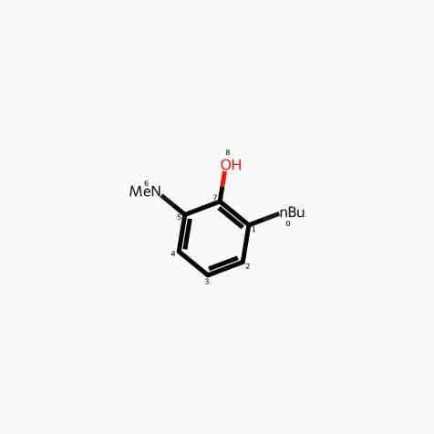 CCCCc1cccc(NC)c1O